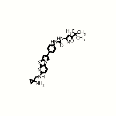 CC(C)(C)c1cc(NC(=O)Nc2ccc(-c3cc4sc5nc(NCC6(N)CC6)ccc5n4c3)cc2)no1